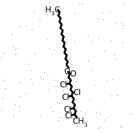 CCCCCCCCCCCCCCCCCCCCOC(=O)CCC(Cl)CCC(Cl)C(Cl)CCCC(Cl)CC(Cl)CC